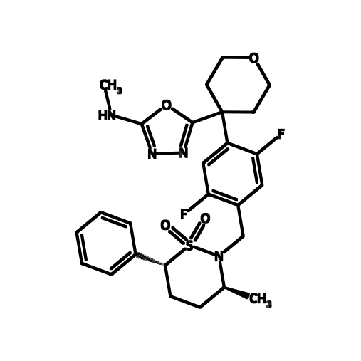 CNc1nnc(C2(c3cc(F)c(CN4[C@@H](C)CC[C@H](c5ccccc5)S4(=O)=O)cc3F)CCOCC2)o1